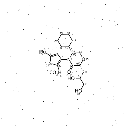 CC(C)(C)c1cc(N2C(=O)[C@@H](CC(O)CO)OC[C@H]2C2CCCCC2)c(C(=O)O)s1